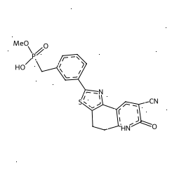 COP(=O)(O)Cc1cccc(-c2nc3c(s2)CCc2[nH]c(=O)c(C#N)cc2-3)c1